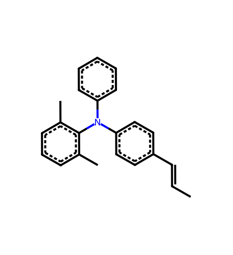 CC=Cc1ccc(N(c2ccccc2)c2c(C)cccc2C)cc1